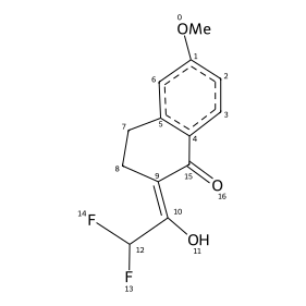 COc1ccc2c(c1)CCC(=C(O)C(F)F)C2=O